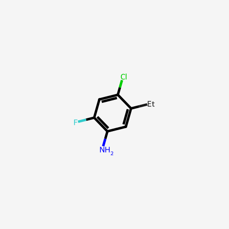 CCc1cc(N)c(F)cc1Cl